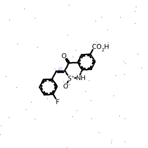 O=C(O)c1ccc2c(c1)C(=O)/C(=C/c1cccc(F)c1)[S+]([O-])N2